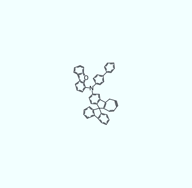 C1#CCC2=C(C=C1)C1(c3ccc(N(c4ccc(-c5ccccc5)cc4)c4cccc5c4oc4ccccc45)cc32)c2ccccc2-c2ccccc21